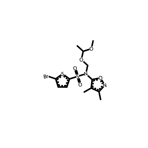 COC(C)OCN(c1onc(C)c1C)S(=O)(=O)c1ccc(Br)s1